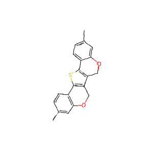 Cc1ccc2c(c1)OCc1c-2sc2c1COc1cc(C)ccc1-2